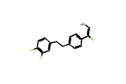 CCC/C=C(/F)c1ccc(CCc2ccc(F)c(F)c2)cc1